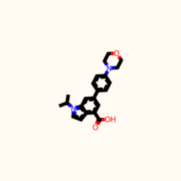 CC(C)n1ccc2c(C(=O)O)cc(-c3ccc(N4CCOCC4)cc3)cc21